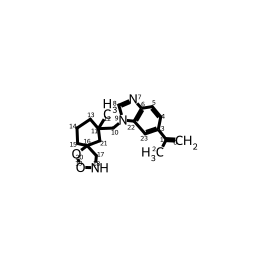 C=C(C)c1ccc2ncn(CC3(C)CCCC4(CNOO4)C3)c2c1